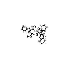 O=C(O)N[C@@H](Cc1ccccc1)[C@@H](O)CN(OC1CCCCC1)S(=O)(=O)c1ccc2c(c1)OCCO2